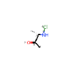 CC(=O)[C@H](C)NCl